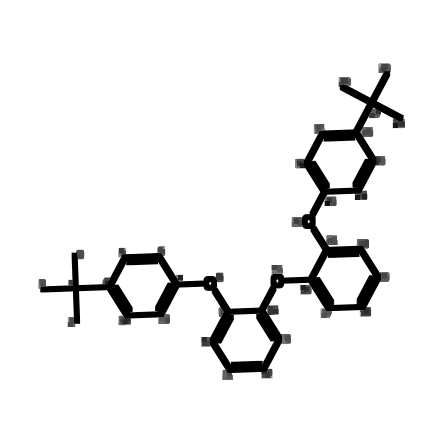 CC(C)(C)c1ccc(Oc2ccccc2Oc2ccccc2Oc2ccc(C(C)(C)C)cc2)cc1